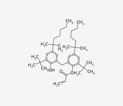 C=CC(=O)Oc1c(Cc2cc(C(C)(C)CCCCC)cc(C(C)(C)C)c2O)cc(C(C)(C)CCCCC)cc1C(C)(C)C